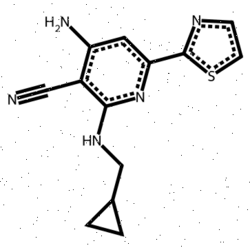 N#Cc1c(N)cc(-c2nccs2)nc1NCC1CC1